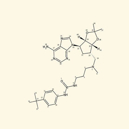 CN(CCCNC(=O)Nc1ccc(C(C)(C)C)cc1)C[C@@H]1C[C@@H](n2cnc3c(N)ncnc32)[C@@H]2OC(C)(C)O[C@H]12